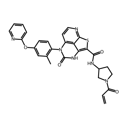 C=CC(=O)N1CCC(NC(=O)c2sc3nccc4c3c2NC(=O)N4c2ccc(Oc3ccccn3)cc2C)C1